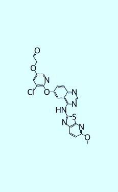 COc1ccc2nc(Nc3ncnc4ccc(Oc5ncc(OCC=O)cc5Cl)cc34)sc2n1